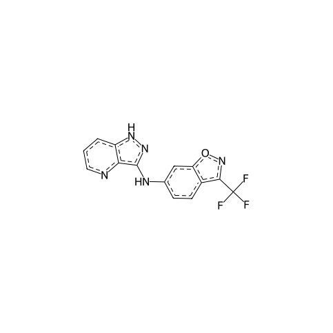 FC(F)(F)c1noc2cc(Nc3n[nH]c4cccnc34)ccc12